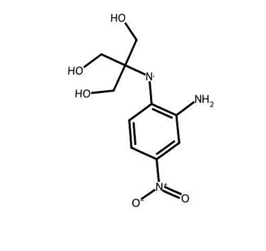 Nc1cc([N+](=O)[O-])ccc1[N]C(CO)(CO)CO